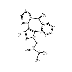 C=C1c2ccccc2C2=C(c3ccccc31)C(C[Si](=O)N(C)C(C)(C)C)C=C2.[Ti+2]